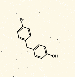 Oc1ccc(Cc2ccc(Br)cc2)cc1